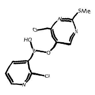 CSc1ncc(OB(O)c2cccnc2Cl)c(Cl)n1